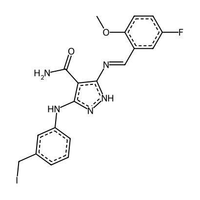 COc1ccc(F)cc1/C=N/c1[nH]nc(Nc2cccc(CI)c2)c1C(N)=O